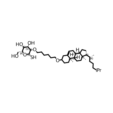 CC(C)CCC[C@@H](C)[C@H]1CC[C@H]2[C@@H]3CC=C4CC(OCCCCCCO[C@H]5[C@@H](O)[C@H](O)[C@@H](CO)O[C@H]5S)CC[C@]4(C)[C@H]3CC[C@]12C